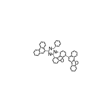 C=N/C(=N\C(=N/Cc1ccccc1)c1cc2ccccc2c2ccccc12)c1cccc2oc3c(-c4cc5c6ccccc6oc5c5ccccc45)cccc3c12